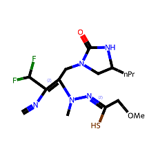 C=N/C(=C(/CN1CC(CCC)NC1=O)N(C)/N=C(\S)COC)C(F)F